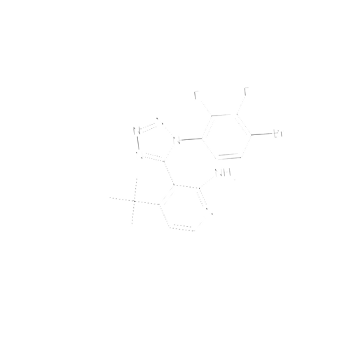 CC(C)(C)c1ccnc(N)c1-c1nnnn1-c1ccc(Br)c(F)c1F